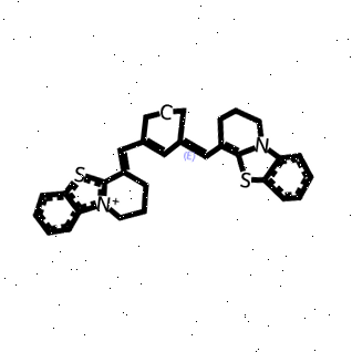 C1=C(C=C2CCC[n+]3c2sc2ccccc23)CCC/C1=C\C1=C2Sc3ccccc3N2CCC1